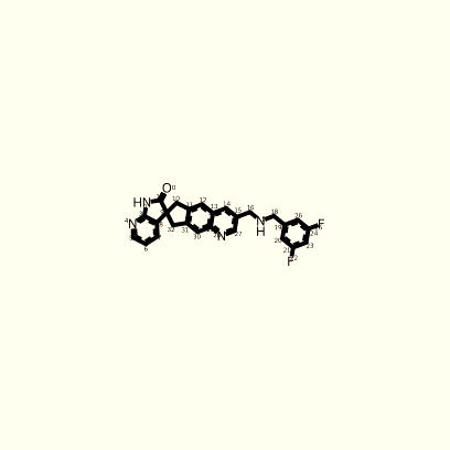 O=C1Nc2ncccc2C12Cc1cc3cc(CNCc4cc(F)cc(F)c4)cnc3cc1C2